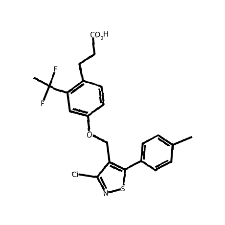 Cc1ccc(-c2snc(Cl)c2COc2ccc(CCC(=O)O)c(C(C)(F)F)c2)cc1